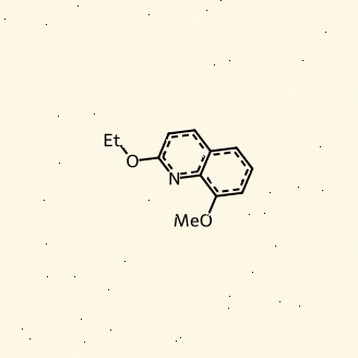 CCOc1ccc2cccc(OC)c2n1